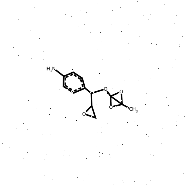 CC12OC1(OC(c1ccc(N)cc1)C1CO1)O2